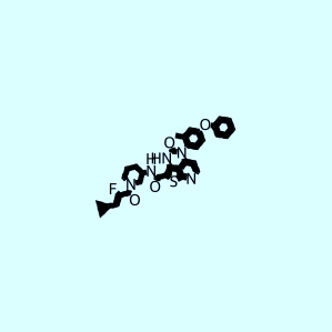 Cc1cc(Oc2ccccc2)ccc1N1C(=O)Nc2c(C(=O)NC3CCCN(C(=O)C(F)=CC4CC4)C3)sc3nccc1c23